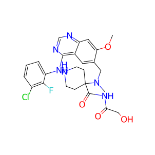 COc1cc2ncnc(Nc3cccc(Cl)c3F)c2cc1CN(C)C1(C(=O)NC(=O)CO)CCNCC1